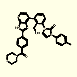 Cc1ccc(-n2ccn(-c3cccc(-c4ccnc5[nH]c(-c6ccc(C(=O)N7CCOCC7)cc6)nc45)c3CO)c2=O)cc1